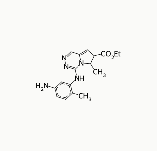 CCOC(=O)C1C=C2C=NN=C(Nc3cc(N)ccc3C)N2C1C